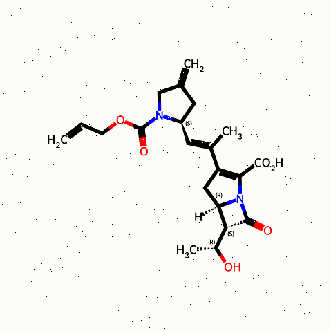 C=CCOC(=O)N1CC(=C)C[C@H]1C=C(C)C1=C(C(=O)O)N2C(=O)[C@H]([C@@H](C)O)[C@H]2C1